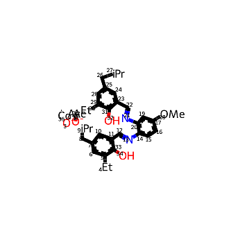 CC(=O)[O-].CC(=O)[O-].CCc1cc(CC(C)C)cc(C=Nc2ccc(OC)cc2N=Cc2cc(CC(C)C)cc(CC)c2O)c1O.[Co+2]